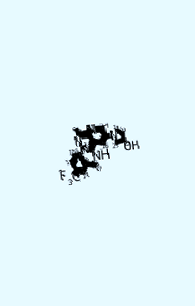 Cc1nnc(N[C@H](C)c2cccc(C(F)(F)F)c2)c2cc(N3CC[C@@H](O)C3)cnc12